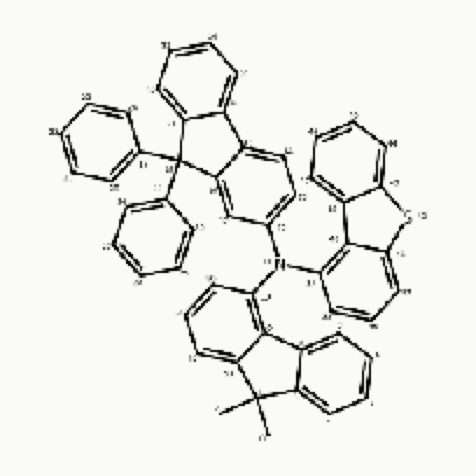 CC1(C)c2ccccc2-c2c(N(c3ccc4c(c3)C(c3ccccc3)(c3ccccc3)c3ccccc3-4)c3cccc4sc5ccccc5c34)cccc21